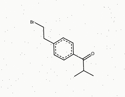 CC(C)C(=O)c1ccc(CCBr)cc1